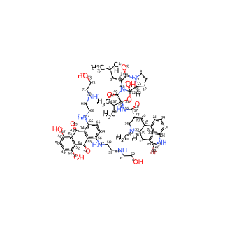 CC(C)C[C@H]1C(=O)N2CCC[C@H]2[C@]2(O)O[C@](NC(=O)[C@@H]3C=C4c5cccc6[nH]c(Br)c(c56)C[C@H]4N(C)C3)(C(C)C)C(=O)N12.O=C1c2c(O)ccc(O)c2C(=O)c2c(NCCNCCO)ccc(NCCNCCO)c21